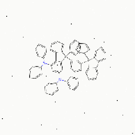 c1ccc(N(c2ccccc2)c2cc(N(c3ccccc3)c3ccccc3)c3c(c2)C(c2ccccc2)(c2cccc(C4(c5ccccc5)c5ccccc5-c5ccccc54)c2)c2ccccc2-3)cc1